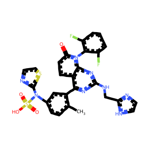 Cc1ccc(N(c2nccs2)S(=O)(=O)O)cc1-c1nc(NCc2ncc[nH]2)nc2c1ccc(=O)n2-c1c(F)cccc1F